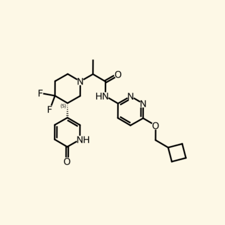 CC(C(=O)Nc1ccc(OCC2CCC2)nn1)N1CCC(F)(F)[C@@H](c2ccc(=O)[nH]c2)C1